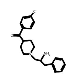 NC(Cc1ccccc1)CN1CCC(C(=O)c2ccc(Cl)cc2)CC1